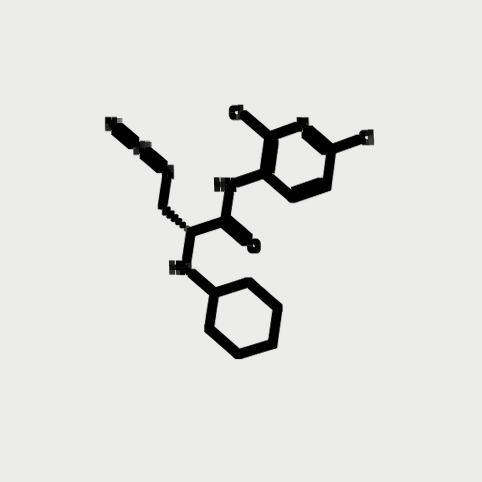 [N-]=[N+]=NC[C@@H](NC1CCCCC1)C(=O)Nc1ccc(Cl)nc1Cl